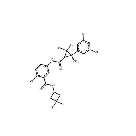 C[C@@]1(c2cc(Cl)cc(Cl)c2)[C@@H](C(=O)Nc2ccc(Cl)c(C(=O)NC3CC(F)(F)C3)c2)C1(Cl)Cl